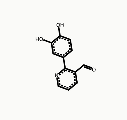 O=Cc1cccnc1-c1ccc(O)c(O)c1